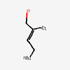 CCCCC/C=C(\CC)C[O]